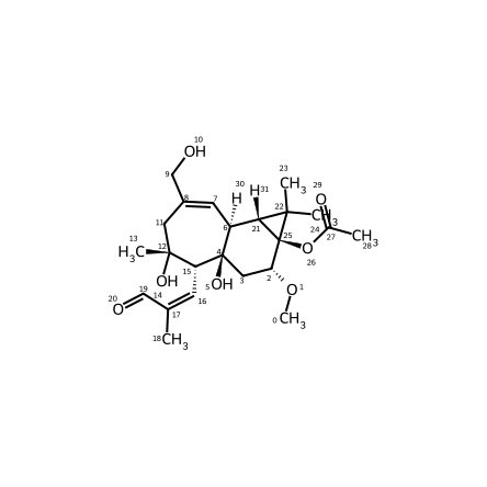 CO[C@@H]1C[C@@]2(O)[C@@H](C=C(CO)C[C@@](C)(O)[C@H]2/C=C(/C)C=O)[C@@H]2C(C)(C)[C@@]21OC(C)=O